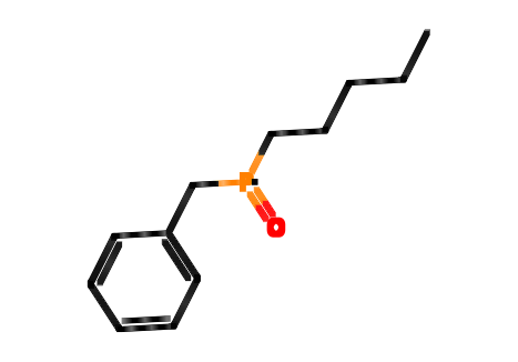 CCCCC[P](=O)Cc1ccccc1